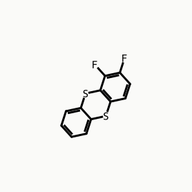 Fc1ccc2c(c1F)Sc1ccccc1S2